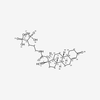 C#C[C@]1(OC(=O)NCCCC(P(=O)(O)O)P(=O)(O)O)CC[C@H]2[C@@H]3CCC4=CC(=O)CC[C@@H]4[C@H]3CC[C@@]21C